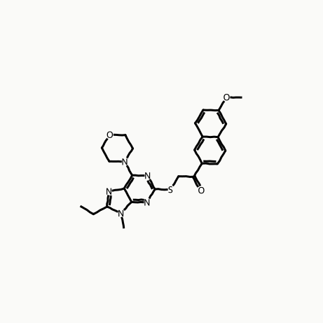 CCc1nc2c(N3CCOCC3)nc(SCC(=O)c3ccc4cc(OC)ccc4c3)nc2n1C